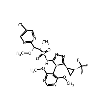 COc1ncnc(OC)c1-n1c(NS(=O)(=O)[C@@H](C)[C@H](OC)c2ncc(Cl)cn2)nnc1[C@@H]1C[C@H]1C(F)(F)F